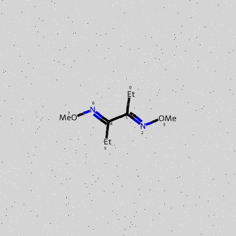 CCC(=N\OC)/C(CC)=N/OC